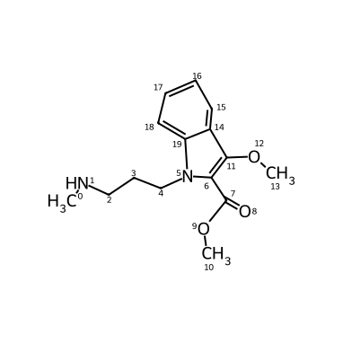 CNCCCn1c(C(=O)OC)c(OC)c2ccccc21